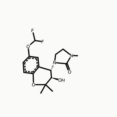 CN1CCN([C@H]2c3cc(OC(F)F)ccc3OC(C)(C)[C@@H]2O)C1=O